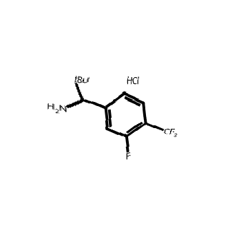 CC(C)(C)C(N)c1ccc(C(F)(F)F)c(F)c1.Cl